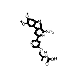 COc1cc2ncc3c(N)nc(-c4cncc(OCC(C)NC(=O)O)c4)cc3c2cc1OC